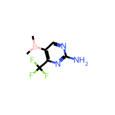 CB(C)c1cnc(N)nc1C(F)(F)F